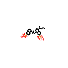 CCCC(C)c1ccc(CC(C)(C)c2cccc3cc(S(=O)(=O)O)ccc23)c2cc(S(=O)(=O)O)ccc12